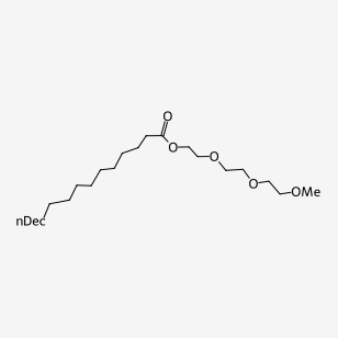 CCCCCCCCCCCCCCCCCCCC(=O)OCCOCCOCCOC